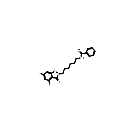 O=C(NCCCCCCn1sc2cc(F)cc(F)c2c1=O)c1ccccc1